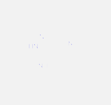 CN1Cc2n[nH]c(N)c2C1